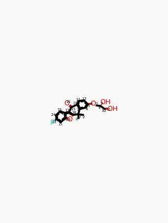 CC1(C)c2cc(OC[C@H](O)CO)ccc2C(=O)c2c1oc1cc(F)ccc21